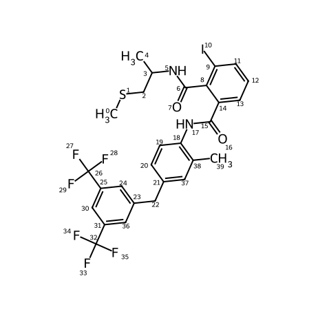 CSCC(C)NC(=O)c1c(I)cccc1C(=O)Nc1ccc(Cc2cc(C(F)(F)F)cc(C(F)(F)F)c2)cc1C